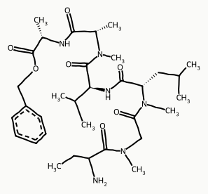 CCC(N)C(=O)N(C)CC(=O)N(C)[C@@H](CC(C)C)C(=O)N[C@H](C(=O)N(C)[C@@H](C)C(=O)N[C@@H](C)C(=O)OCc1ccccc1)C(C)C